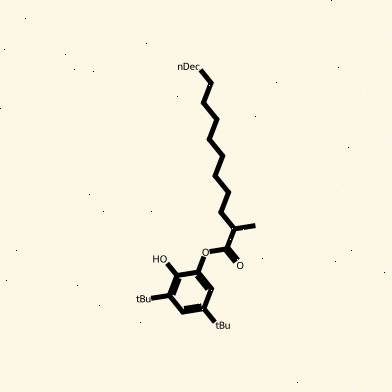 CCCCCCCCCCCCCCCCCCC(C)C(=O)Oc1cc(C(C)(C)C)cc(C(C)(C)C)c1O